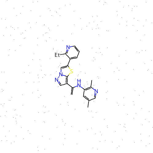 C=C(Nc1cc(C)cnc1C)c1cnn2cc(-c3cccnc3CC)sc12